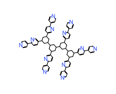 c1cc(-c2ccc(C3CC(c4ccc(-c5ccncc5)nc4)CC(C4CC(c5ccc(-c6ccncc6)nc5)CC(C5CC(c6ccc(-c7ccncc7)nc6)CC(C6CC(c7ccc(-c8ccncc8)nc7)CC(c7ccc(-c8ccncc8)nc7)C6)C5)C4)C3)cn2)ccn1